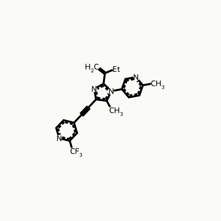 C=C(CC)c1nc(C#Cc2ccnc(C(F)(F)F)c2)c(C)n1-c1ccc(C)nc1